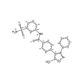 Cc1onc(-c2ccccc2)c1-c1ccc(C(=O)Nc2cccc(S(N)(=O)=O)c2)cc1